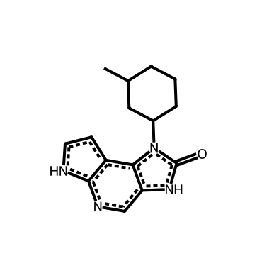 CC1CCCC(n2c(=O)[nH]c3cnc4[nH]ccc4c32)C1